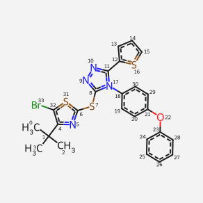 CC(C)(C)c1nc(Sc2nnc(-c3cccs3)n2-c2ccc(Oc3ccccc3)cc2)sc1Br